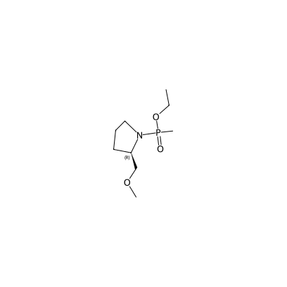 CCOP(C)(=O)N1CCC[C@@H]1COC